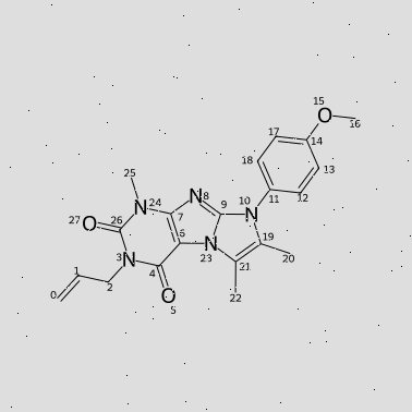 C=CCn1c(=O)c2c(nc3n(-c4ccc(OC)cc4)c(C)c(C)n23)n(C)c1=O